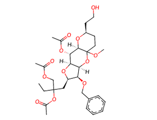 CCC(COC(C)=O)(C[C@H]1O[C@@H]2[C@@H](OC3(OC)CC[C@H](CCO)O[C@@H]3[C@H]2OC(C)=O)[C@H]1OCc1ccccc1)OC(C)=O